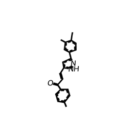 Cc1ccc(C(=O)/C=C/c2cc(-c3ccc(C)c(C)c3)n[nH]2)cc1